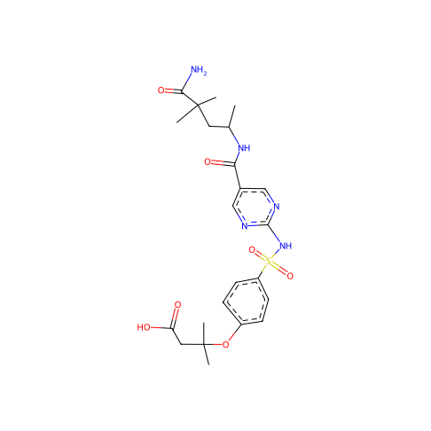 CC(CC(C)(C)C(N)=O)NC(=O)c1cnc(NS(=O)(=O)c2ccc(OC(C)(C)CC(=O)O)cc2)nc1